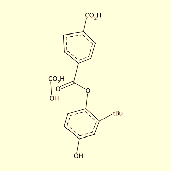 CC(C)(C)c1cc(O)ccc1OC(=O)c1ccc(C(=O)O)cc1.O=C(O)O